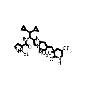 CCn1nccc1C(=O)N[C@H](c1cn2ncc(CC3(C(=O)O)C[C@@H](C(F)(F)F)CNC3=O)cc2n1)C(C1CC1)C1CC1